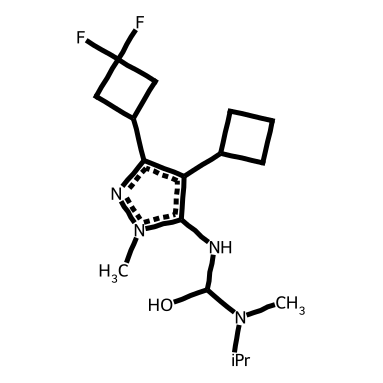 CC(C)N(C)C(O)Nc1c(C2CCC2)c(C2CC(F)(F)C2)nn1C